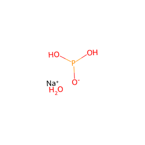 O.[Na+].[O-]P(O)O